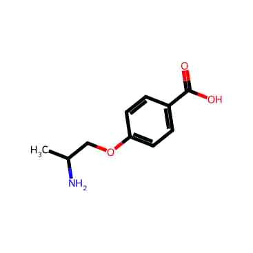 CC(N)COc1ccc(C(=O)O)cc1